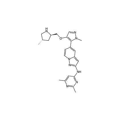 Cc1cc(Nc2cc3cc(-c4c(OC[C@H]5C[C@H](C)CN5)cnn4C)ccn3n2)nc(C)n1